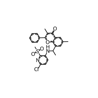 Cc1cc(C(C)Nc2ccc(Cl)nc2S(C)(=O)=O)c2oc(-c3ccccc3)c(C)c(=O)c2c1